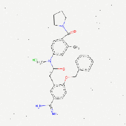 Cc1cc(N(C)C(=O)Cc2cc(C(=N)N)ccc2OCc2ccccc2)ccc1C(=O)N1CCCC1.Cl